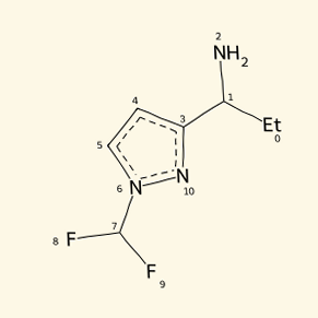 CCC(N)c1ccn(C(F)F)n1